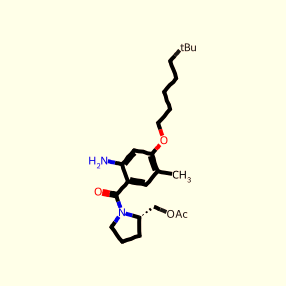 CC(=O)OC[C@@H]1CCCN1C(=O)c1cc(C)c(OCCCCCC(C)(C)C)cc1N